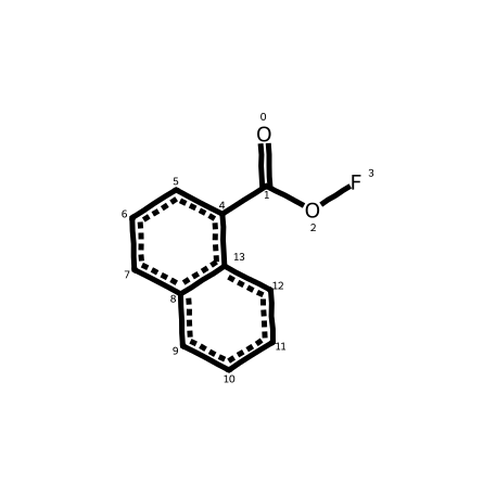 O=C(OF)c1cccc2ccccc12